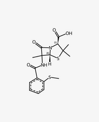 CSc1ccccc1C(=O)NC1(C)C(=O)N2[C@@H](C(=O)O)C(C)(C)S[C@@H]21